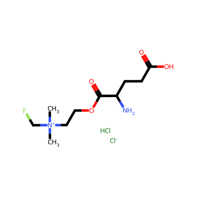 C[N+](C)(CF)CCOC(=O)C(N)CCC(=O)O.Cl.[Cl-]